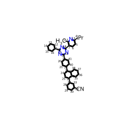 Cc1nc(C(C)C)ccc1-c1nc(-c2ccccc2)nc(-c2ccc(-c3ccc(-c4cccc(C#N)c4)c4ccccc34)cc2)n1